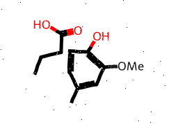 CCCC(=O)O.COc1cc(C)ccc1O